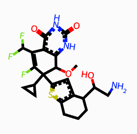 COC1c2[nH]c(=O)[nH]c(=O)c2C(C(F)F)=C(F)C1(c1cc2c(s1)CCCC2C(O)CN)C1CC1